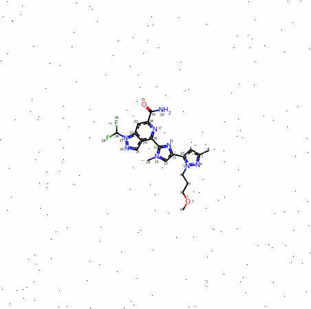 COCCCn1nc(C)cc1-c1cn(C)c(-c2nc(C(N)=O)cc3c2cnn3C(F)F)n1